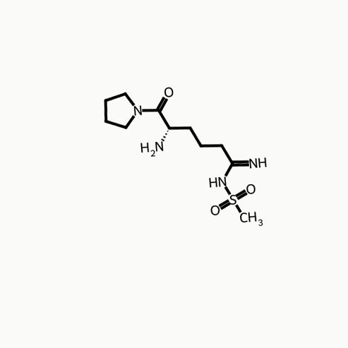 CS(=O)(=O)NC(=N)CCC[C@H](N)C(=O)N1CCCC1